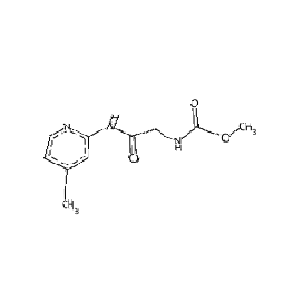 COC(=O)NCC(=O)Nc1cc(C)ccn1